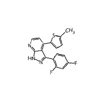 Cc1ccc(-c2ccnc3[nH]nc(-c4ccc(F)cc4F)c23)s1